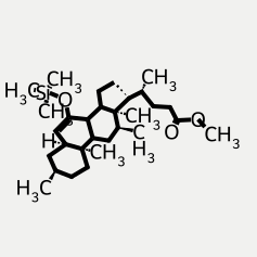 COC(=O)CC[C@@H](C)[C@H]1CCC2C3C(O[Si](C)(C)C)=C[C@@H]4C[C@H](C)CC[C@]4(C)C3C[C@H](C)[C@@]21C